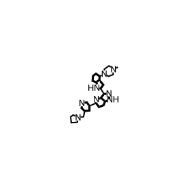 CN1CCN(c2cccc3[nH]c(-c4n[nH]c5ccc(-c6cncc(CN7CCCC7)c6)nc45)cc23)CC1